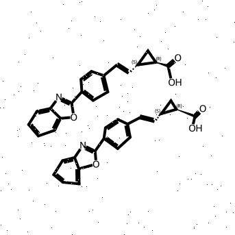 O=C(O)[C@@H]1C[C@H]1C=Cc1ccc(-c2nc3ccccc3o2)cc1.O=C(O)[C@@H]1C[C@H]1C=Cc1ccc(-c2nc3ccccc3o2)cc1